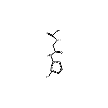 CC(C)C(=O)NCC(=O)Nc1cccc(C(C)C)c1